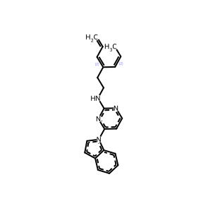 C=C/C=C(\C=C/C)CCNc1nccc(-n2ccc3ccccc32)n1